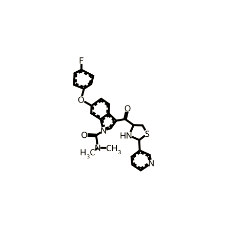 CN(C)C(=O)n1cc(C(=O)C2CSC(c3cccnc3)N2)c2ccc(Oc3ccc(F)cc3)cc21